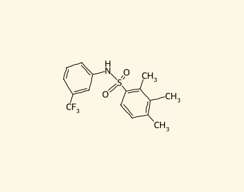 Cc1ccc(S(=O)(=O)Nc2cccc(C(F)(F)F)c2)c(C)c1C